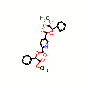 COC(=O)C(OC(=O)c1ccc(C(=O)OC(C(=O)OC)c2ccccc2)nc1)c1ccccc1